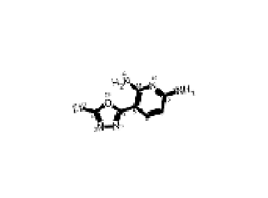 CCc1nnc(-c2ccc(N)nc2N)o1